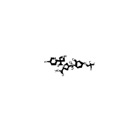 O=C(O)C1CC(S(=O)(=O)c2ccc(OCC(F)(F)F)cc2Cl)CN1C(=O)C1(c2ccc(Br)cn2)CNC1